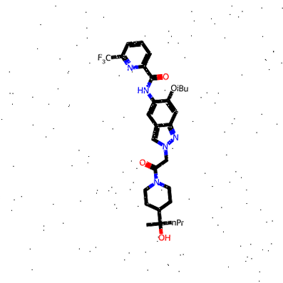 CCCC(C)(O)C1CCN(C(=O)Cn2cc3cc(NC(=O)c4cccc(C(F)(F)F)n4)c(OCC(C)C)cc3n2)CC1